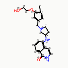 Cc1ccc(CN2CCC(Nc3cccc4c(=O)[nH]ccc34)C2)cc1OCCO